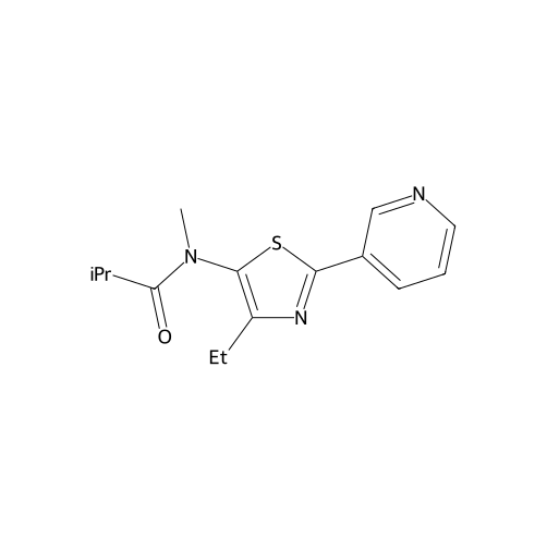 CCc1nc(-c2cccnc2)sc1N(C)C(=O)C(C)C